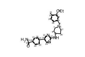 CCOc1cc(CN2CCC(Nc3ncc(-c4ccc(C(N)=O)cc4)cn3)CC2)ccc1C